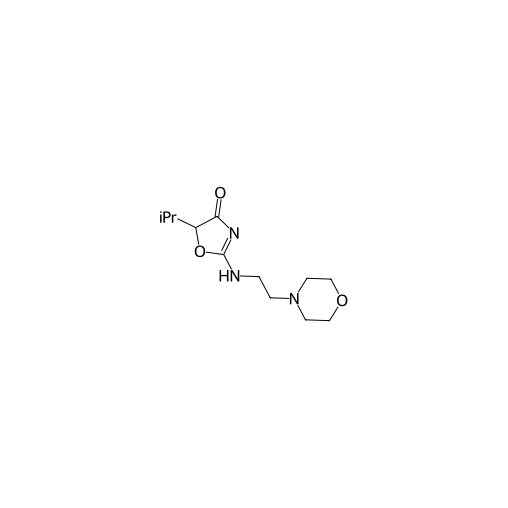 CC(C)C1OC(NCCN2CCOCC2)=NC1=O